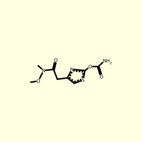 CON(C)C(=O)Cc1csc(OC(N)=O)n1